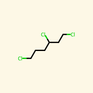 ClCCCC(Cl)CCCl